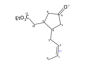 C/C=C\CC1CC(=O)CC1CC(=O)OCC